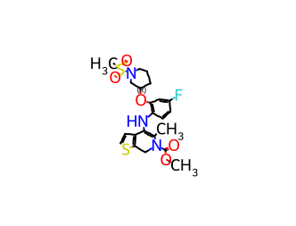 COC(=O)N1Cc2sccc2C(Nc2ccc(F)cc2O[C@@H]2CCCN(S(C)(=O)=O)C2)=C1C